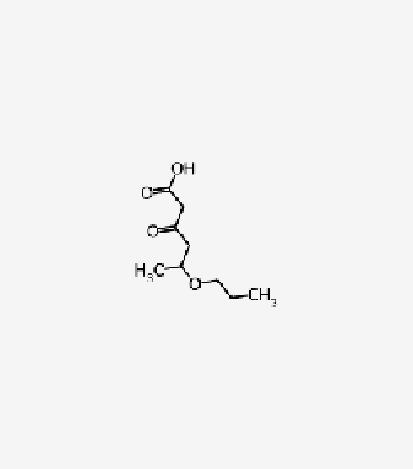 CCCOC(C)CC(=O)CC(=O)O